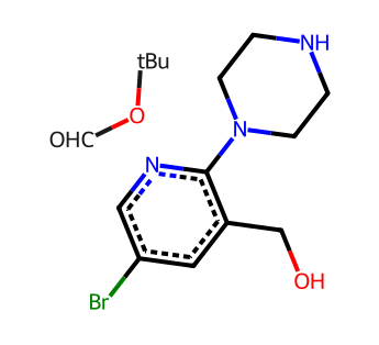 CC(C)(C)OC=O.OCc1cc(Br)cnc1N1CCNCC1